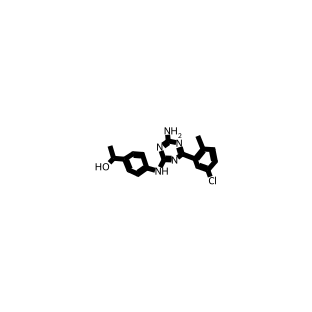 Cc1ccc(Cl)cc1-c1nc(N)nc(Nc2ccc(C(C)O)cc2)n1